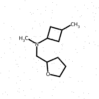 CC1CC(N(C)CC2CCCO2)C1